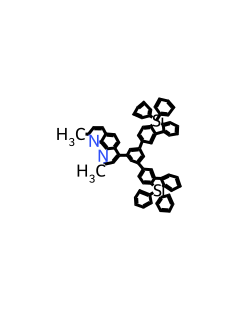 Cc1ccc2ccc3c(-c4cc(-c5ccc6c(c5)-c5ccccc5[Si]6(c5ccccc5)c5ccccc5)cc(-c5ccc6c(c5)-c5ccccc5[Si]6(c5ccccc5)c5ccccc5)c4)cc(C)nc3c2n1